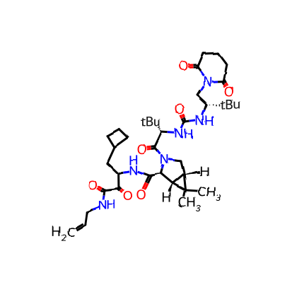 C=CCNC(=O)C(=O)C(CC1CCC1)NC(=O)[C@@H]1[C@@H]2[C@H](CN1C(=O)[C@@H](NC(=O)N[C@H](CN1C(=O)CCCC1=O)C(C)(C)C)C(C)(C)C)C2(C)C